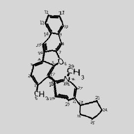 Cc1ccc2c(oc3cc4ccccc4cc32)c1-c1ccc(C2CCCC2)c[n+]1C